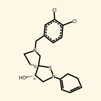 O[C@H]1CN(C2=CC=CCC2)S[C@@]12CCN(Cc1ccc(Cl)c(Cl)c1)C2